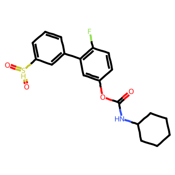 O=C(NC1CCCCC1)Oc1ccc(F)c(-c2cccc([SH](=O)=O)c2)c1